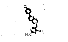 Cc1ncc(CN2CCc3cc(-c4ccc(Cl)cc4)ccc3C2)c(N)n1